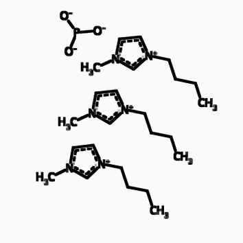 CCCC[n+]1ccn(C)c1.CCCC[n+]1ccn(C)c1.CCCC[n+]1ccn(C)c1.[O-]P([O-])[O-]